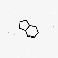 [CH]1CC=CC2CCCC12